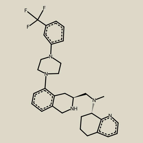 CN(C[C@@H]1Cc2c(cccc2N2CCN(c3cccc(C(F)(F)F)c3)CC2)CN1)[C@H]1CCCc2cccnc21